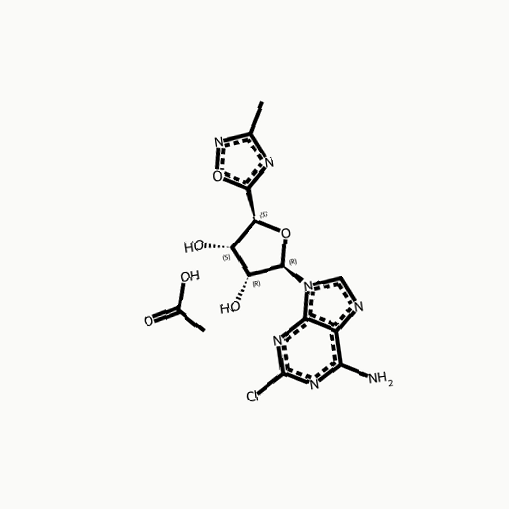 CC(=O)O.Cc1noc([C@H]2O[C@@H](n3cnc4c(N)nc(Cl)nc43)[C@H](O)[C@@H]2O)n1